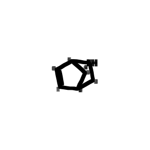 C1=CC2CN[C]1C2